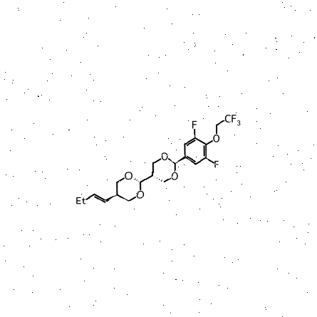 CC/C=C/[C@H]1CO[C@H]([C@H]2CO[C@H](c3cc(F)c(OCC(F)(F)F)c(F)c3)OC2)OC1